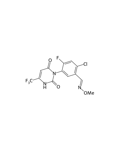 CON=Cc1cc(-n2c(=O)cc(C(F)(F)F)[nH]c2=O)c(F)cc1Cl